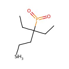 CCC(CC)(CC[SiH3])P(=O)=O